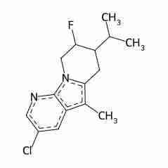 Cc1c2n(c3ncc(Cl)cc13)CC(F)C(C(C)C)C2